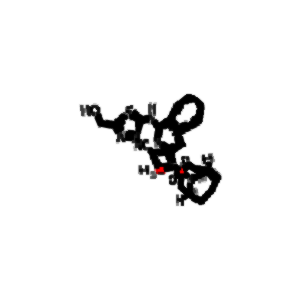 CN(c1cc2ccccc2c(Nc2nnc(CO)s2)n1)[C@@H]1C[C@H]2CCC[C@@H](C1)N2S(=O)(=O)N1CC(C#N)C1